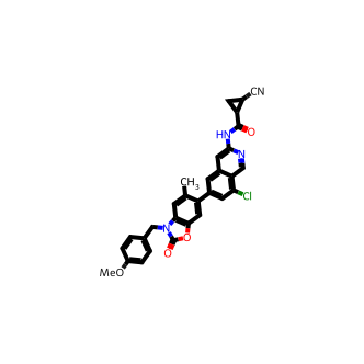 COc1ccc(Cn2c(=O)oc3cc(-c4cc(Cl)c5cnc(NC(=O)C6CC6C#N)cc5c4)c(C)cc32)cc1